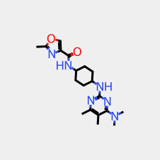 Cc1nc(C(=O)NC2CCC(Nc3nc(C)c(C)c(N(C)C)n3)CC2)co1